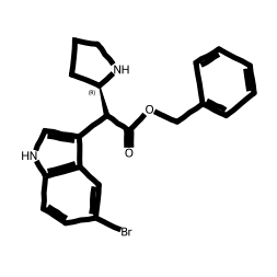 O=C(OCc1ccccc1)C(c1c[nH]c2ccc(Br)cc12)[C@H]1CCCN1